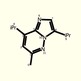 Cc1cc(C(C)C)c2ncc(C(C)C)n2n1